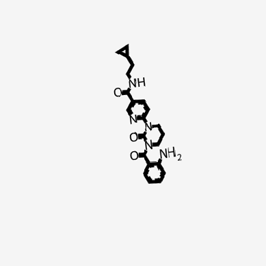 Nc1ccccc1C(=O)N1CCCN(c2ccc(C(=O)NCCC3CC3)cn2)C1=O